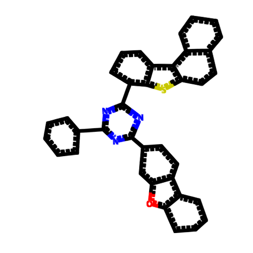 c1ccc(-c2nc(-c3ccc4c(c3)oc3ccccc34)nc(-c3cccc4c3sc3ccc5ccccc5c34)n2)cc1